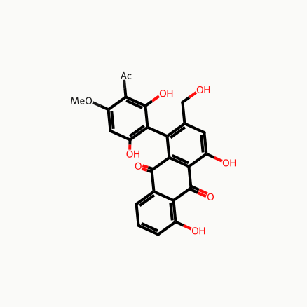 COc1cc(O)c(-c2c(CO)cc(O)c3c2C(=O)c2cccc(O)c2C3=O)c(O)c1C(C)=O